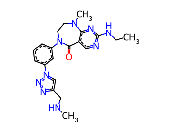 CCNc1ncc2c(n1)N(C)CCN(c1cccc(-n3cc(CNC)nn3)c1)C2=O